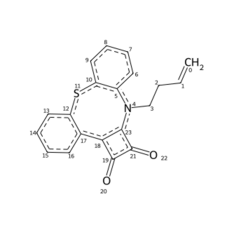 C=CCCn1c2ccccc2sc2ccccc2c2c(=O)c(=O)c21